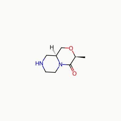 C[C@@H]1OC[C@@H]2CNCCN2C1=O